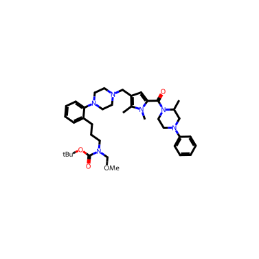 COCN(CCCc1ccccc1N1CCN(Cc2cc(C(=O)N3CCN(c4ccccc4)CC3C)n(C)c2C)CC1)C(=O)OC(C)(C)C